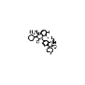 NC(=O)C(C(=O)N(c1ccc2c(c1)NC(=O)C21CCOCC1)c1cccc(F)c1N)C1CCCCC1